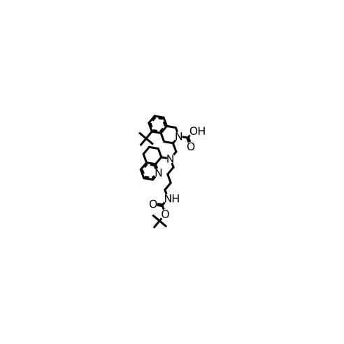 CC(C)(C)OC(=O)NCCCCN(CC1Cc2c(cccc2C(C)(C)C)CN1C(=O)O)C1CCCc2cccnc21